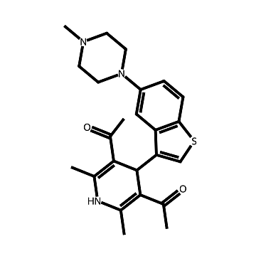 CC(=O)C1=C(C)NC(C)=C(C(C)=O)C1c1csc2ccc(N3CCN(C)CC3)cc12